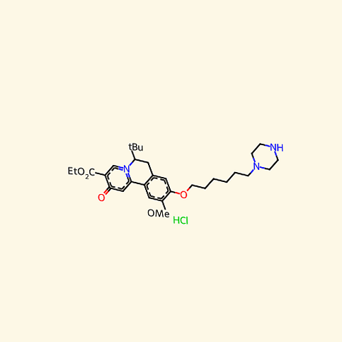 CCOC(=O)c1cn2c(cc1=O)-c1cc(OC)c(OCCCCCCN3CCNCC3)cc1CC2C(C)(C)C.Cl